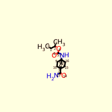 CCC(C)OC(=O)NC12CCC(C(N)=O)(CC1)CC2